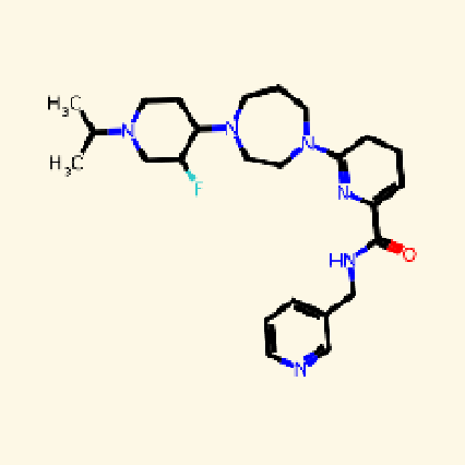 CC(C)N1CCC(N2CCCN(C3=NC(C(=O)NCc4cccnc4)=CCC3)CC2)C(F)C1